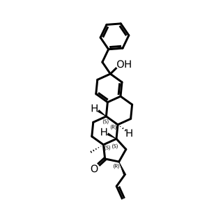 C=CC[C@@H]1C[C@H]2[C@@H]3CCC4=CC(O)(Cc5ccccc5)CC=C4[C@H]3CC[C@]2(C)C1=O